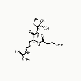 CNC(=N)NCCC[C@H](NC(=O)CCOC)C(=O)N[C@@H](CC(C)C)B(O)O